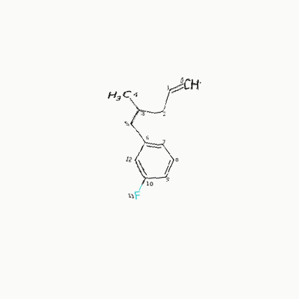 [CH]=CCC(C)Cc1cccc(F)c1